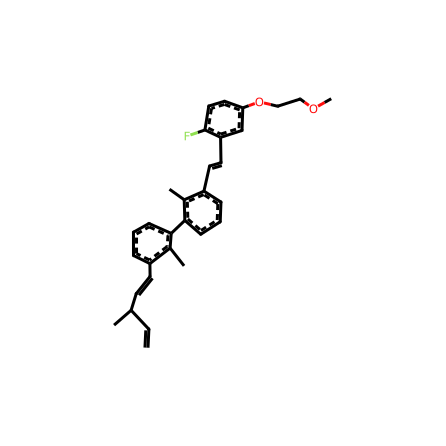 C=CC(C)/C=C/c1cccc(-c2cccc(/C=C/c3cc(OCCOC)ccc3F)c2C)c1C